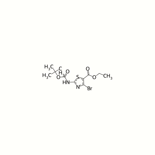 CCOC(=O)c1sc(NC(=O)OC(C)(C)C)nc1Br